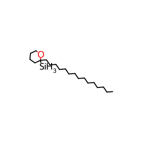 CCCCCCCCCCCCCCCC1([SiH3])CCCCO1